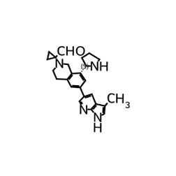 Cc1c[nH]c2ncc(-c3cc4c(c([C@@H]5CCCN5)c3)CN(C3(C=O)CC3)CC4)cc12